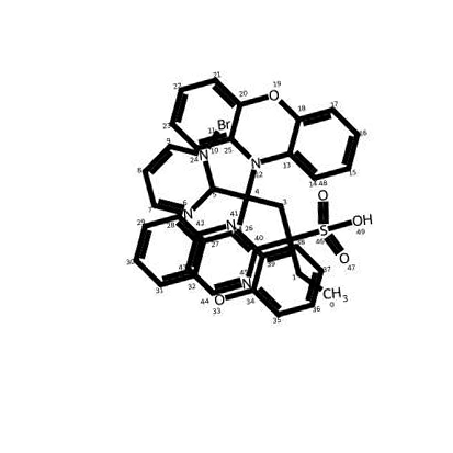 CCC(CC(C1N=CC=CN1Br)(N1c2ccccc2Oc2ccccc21)N1c2ccccc2Oc2ccccc21)(c1ncccn1)S(=O)(=O)O